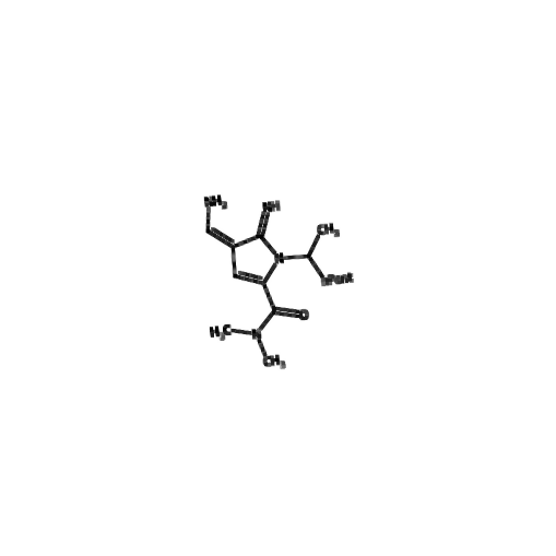 CCCCCC(C)N1C(=N)/C(=C\N)C=C1C(=O)N(C)C